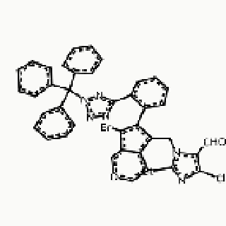 CCc1nc(Cl)c(C=O)n1Cc1c2ccocc-2c(Br)c1-c1ccccc1-c1nnn(C(c2ccccc2)(c2ccccc2)c2ccccc2)n1